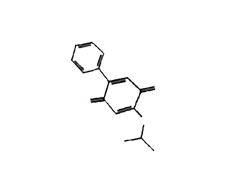 CC(C)OC1=CC(=O)C(c2ccccc2)=CC1=O